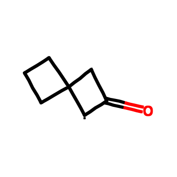 O=C1[CH]C2(CCC2)C1